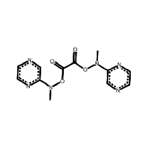 CN(OC(=O)C(=O)ON(C)c1cnccn1)c1cnccn1